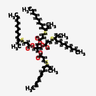 CCCCCCCCCC(CC)SCCC(=O)OCC(COC(=O)CCSC(CC)CCCCCCCCC)(COC(=O)CCSC(CC)CCCCCCCCC)COC(=O)CCSC(CC)CCCCCCCCC